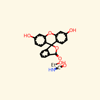 CCO.N=C=O.O=C1OC2(c3ccc(O)cc3Oc3cc(O)ccc32)c2ccccc21